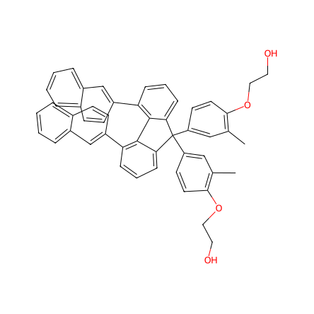 Cc1cc(C2(c3ccc(OCCO)c(C)c3)c3cccc(-c4ccc5ccccc5c4)c3-c3c(-c4ccc5ccccc5c4)cccc32)ccc1OCCO